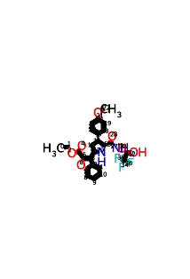 CCOC(=O)c1oc2ccccc2c1C1C[C@@H](c2ccc(OC)cc2)[C@@H](C(N)=O)N1.O=C(O)C(F)(F)F